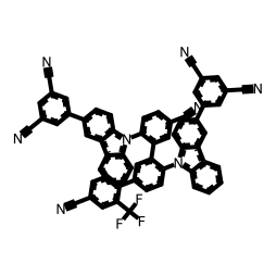 N#Cc1cc(C#N)cc(-c2ccc3c(c2)c2ccccc2n3-c2ccc(C#N)cc2-c2cc(-c3ccc(C#N)cc3C(F)(F)F)ccc2-n2c3ccccc3c3cc(-c4cc(C#N)cc(C#N)c4)ccc32)c1